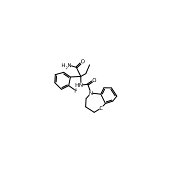 CCC(NC(=O)N1CCCCc2ccccc21)(C(N)=O)c1ccccc1F